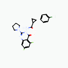 O=C(Nn1c(N2CCCC2)nc2cc(F)cc(F)c2c1=O)C1C[C@@H]1c1ccc(Cl)cc1